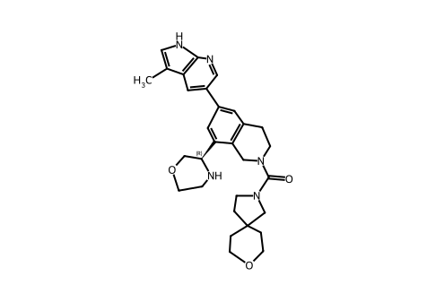 Cc1c[nH]c2ncc(-c3cc4c(c([C@@H]5COCCN5)c3)CN(C(=O)N3CCC5(CCOCC5)C3)CC4)cc12